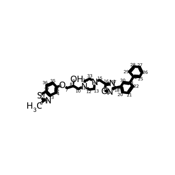 Cc1nc2cc(OC[C@@H](O)CN3CCN(Cc4nc(-c5cccc(-c6ccccc6)c5)no4)CC3)ccc2s1